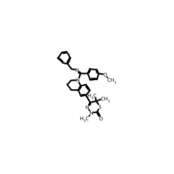 COc1ccc(/C(=N/Cc2ccccc2)N2CCCc3cc(C4=NN(C)C(=O)SC4(C)C)ccc32)cc1